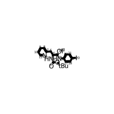 CC(C)(C)OC(=O)NC(Cc1ccccn1)C(=O)Nc1ccc(I)cc1F